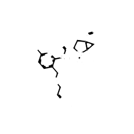 C=CCOCc1ccc(Br)nc1NC(=O)[C@@H]1C[C@@]2(C=C)C[C@H]2N1C(=O)O